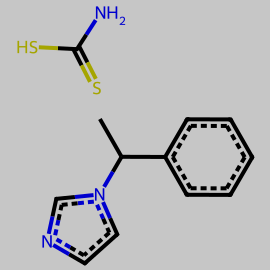 CC(c1ccccc1)n1ccnc1.NC(=S)S